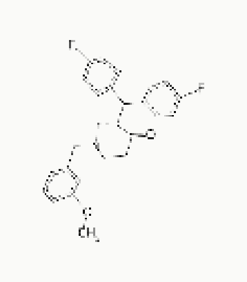 COc1cccc(CN2CCC(=O)C(C(c3ccc(F)cc3)c3ccc(F)cc3)C2)c1